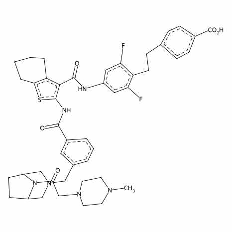 CN1CCN(CC(=O)N2C3CCC2CN(Cc2cccc(C(=O)Nc4sc5c(c4C(=O)Nc4cc(F)c(CCc6ccc(C(=O)O)cc6)c(F)c4)CCCC5)c2)C3)CC1